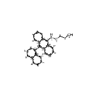 OCCOBc1c2ccccc2c(-c2cccc3ccccc23)c2ccccc12